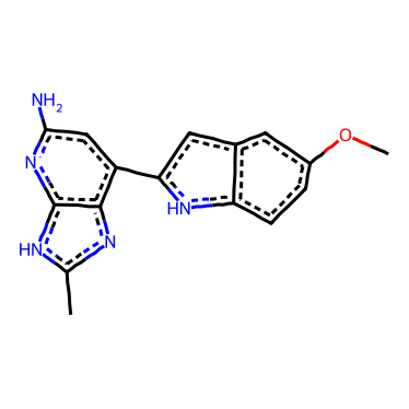 COc1ccc2[nH]c(-c3cc(N)nc4[nH]c(C)nc34)cc2c1